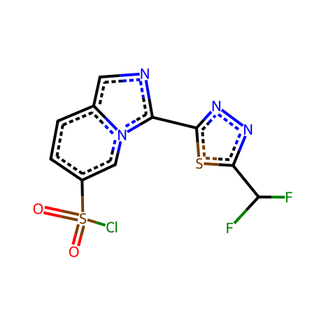 O=S(=O)(Cl)c1ccc2cnc(-c3nnc(C(F)F)s3)n2c1